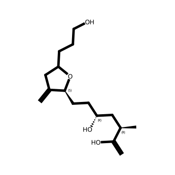 C=C(O)[C@H](C)C[C@H](O)CC[C@@H]1OC(CCCO)CC1=C